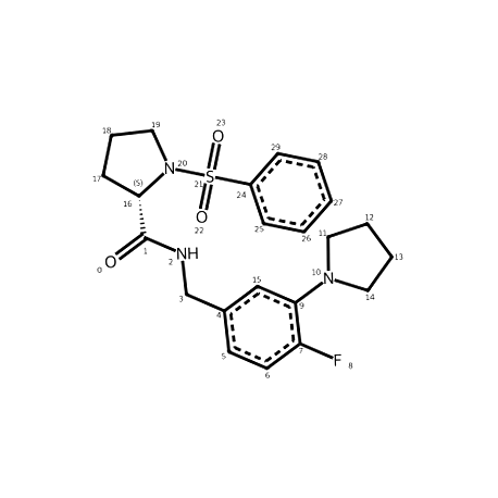 O=C(NCc1ccc(F)c(N2CCCC2)c1)[C@@H]1CCCN1S(=O)(=O)c1ccccc1